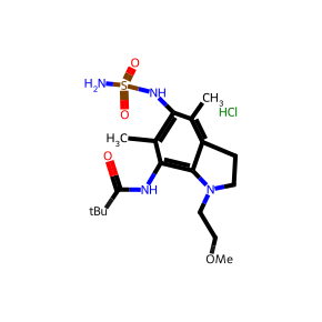 COCCN1CCc2c(C)c(NS(N)(=O)=O)c(C)c(NC(=O)C(C)(C)C)c21.Cl